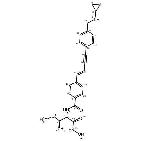 CO[C@H](C)[C@H](NC(=O)c1ccc(/C=C/C#Cc2ccc(CNC3CC3)cc2)cc1)C(=O)NO